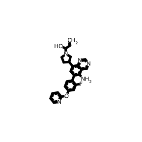 C=CC(O)N1CCC(c2cc(-c3ccc(Oc4ccccn4)cc3F)c(N)c3cncnc23)C1